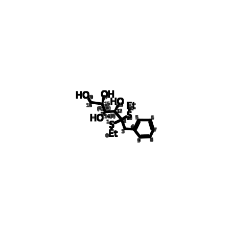 CCSC(Cc1ccccc1)(SCC)[C@H](O)[C@H](O)[C@H](O)CO